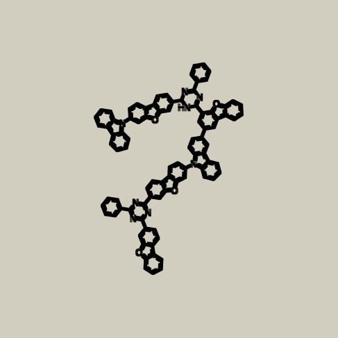 c1ccc(C2=NC(c3ccc4c(c3)oc3cc(-n5c6ccccc6c6ccccc65)ccc34)NC(c3cc(-c4ccc5c(c4)c4ccccc4n5-c4ccc5c(c4)oc4cc(-c6nc(-c7ccccc7)nc(-c7ccc8c(c7)oc7ccccc78)n6)ccc45)cc4c3oc3ccccc34)=N2)cc1